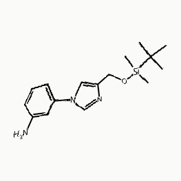 CC(C)(C)[Si](C)(C)OCc1cn(-c2cccc(N)c2)cn1